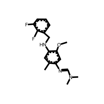 COc1cc(N=CN(C)C)c(C)cc1NCc1cccc(F)c1F